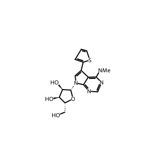 CNc1ncnc2c1c(-c1cccs1)cn2[C@@H]1O[C@H](CO)[C@@H](O)[C@H]1O